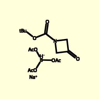 CC(=O)O[BH-](OC(C)=O)OC(C)=O.CC(C)(C)OC(=O)N1CC(=O)C1.[Na+]